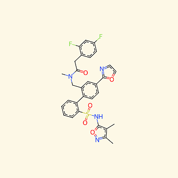 Cc1noc(NS(=O)(=O)c2ccccc2-c2ccc(-c3ncco3)cc2CN(C)C(=O)Cc2ccc(F)cc2F)c1C